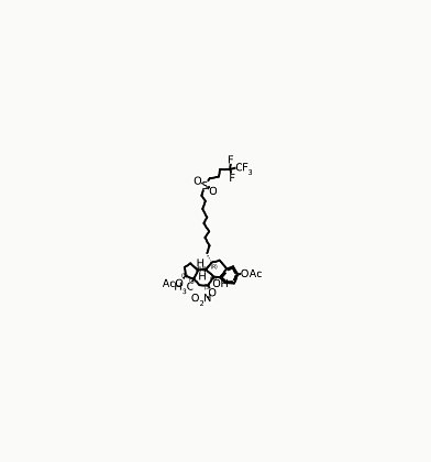 CC(=O)Oc1ccc2c(c1)C[C@@H](CCCCCCCCCS(=O)(=O)CCCC(F)(F)C(F)(F)F)[C@H]1[C@@H]3CC[C@H](OC(C)=O)[C@@]3(C)C[C@H](O[N+](=O)[O-])[C@]21O